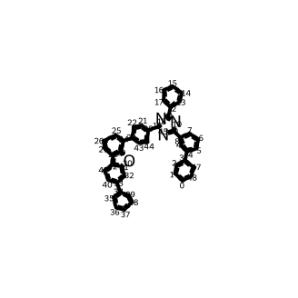 c1ccc(-c2cccc(-c3nc(-c4ccccc4)nc(-c4ccc(-c5cccc6c5oc5cc(-c7ccccc7)ccc56)cc4)n3)c2)cc1